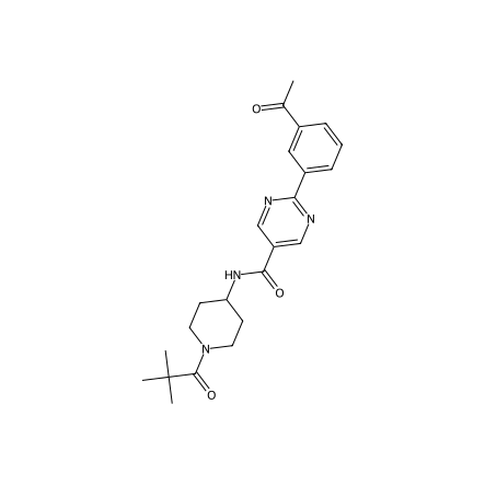 CC(=O)c1cccc(-c2ncc(C(=O)NC3CCN(C(=O)C(C)(C)C)CC3)cn2)c1